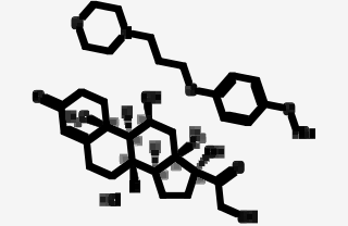 CCCCOc1ccc(OCCCN2CCOCC2)cc1.C[C@]12CCC(=O)C=C1CC[C@@H]1[C@@H]2[C@@H](O)C[C@@]2(C)[C@H]1CC[C@]2(O)C(=O)CO.Cl